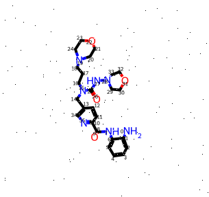 Nc1ccccc1NC(=O)c1ccc(CN(CCCN2CCOCC2)C(=O)NN2CCOCC2)cn1